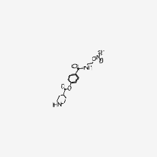 O=C(NCCO[N+](=O)[O-])c1ccc(OC(=O)C2CCNCC2)cc1